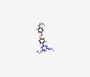 C=Cc1ccc(COc2ccc(-c3nc(C)nc(N)n3)cc2)cc1